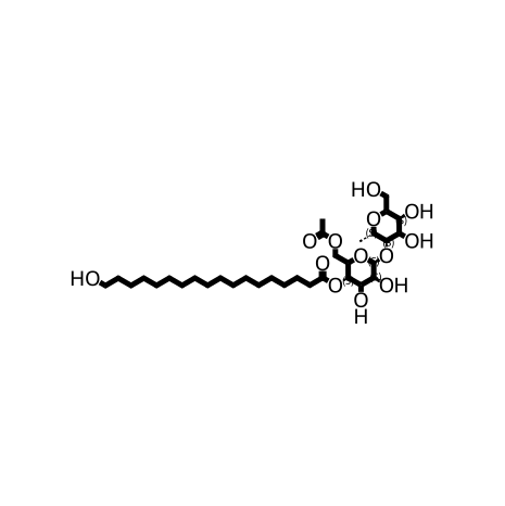 CC(=O)OCC1O[C@@H](O[C@H]2C(O)[C@H](O)C(CO)O[C@H]2C)[C@@H](O)C(O)[C@@H]1OC(=O)CCCCCCCCCCCCCCCCCO